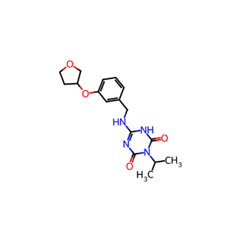 CC(C)n1c(=O)nc(NCc2cccc(OC3CCOC3)c2)[nH]c1=O